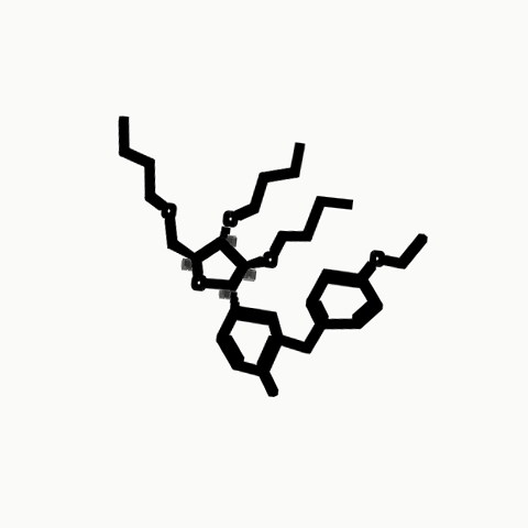 CCCCOC[C@@H]1O[C@@H](c2ccc(C)c(Cc3ccc(OCC)cc3)c2)[C@H](OCCCC)[C@H]1OCCCC